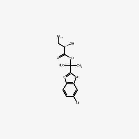 CC(C)(NC(=O)[C@@H](O)CN)c1nc2ccc(Cl)cc2[nH]1